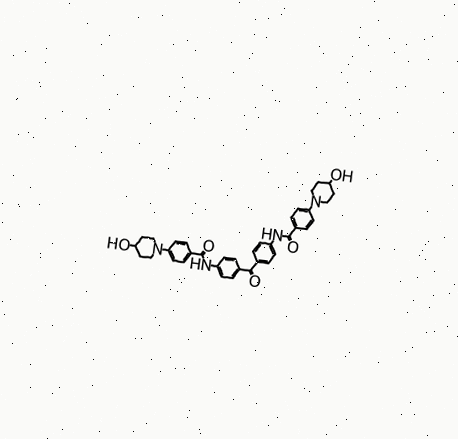 O=C(Nc1ccc(C(=O)c2ccc(NC(=O)c3ccc(N4CCC(O)CC4)cc3)cc2)cc1)c1ccc(N2CCC(O)CC2)cc1